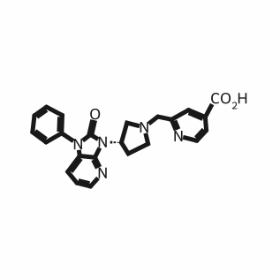 O=C(O)c1ccnc(CN2CC[C@H](n3c(=O)n(-c4ccccc4)c4cccnc43)C2)c1